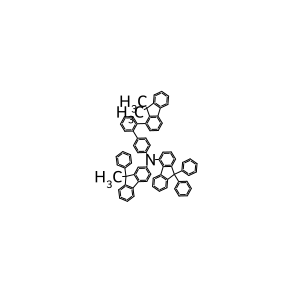 CC1(C)c2ccccc2-c2cccc(-c3ccccc3-c3ccc(N(c4ccc5c(c4)C(C)(c4ccccc4)c4ccccc4-5)c4cccc5c4-c4ccccc4C5(c4ccccc4)c4ccccc4)cc3)c21